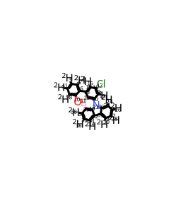 [2H]c1c([2H])c([2H])c2c(c1[2H])OB1c3c-2c([2H])c(Cl)c([2H])c3-n2c3c([2H])c([2H])c([2H])c([2H])c3c3c([2H])c([2H])c([2H])c1c32